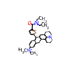 CCN(CC)C(=O)c1ccc(C2=C3C=CC(=[N+](C)C)C=C3Cc3c2cc2c4c3CCCN4CCC2)s1